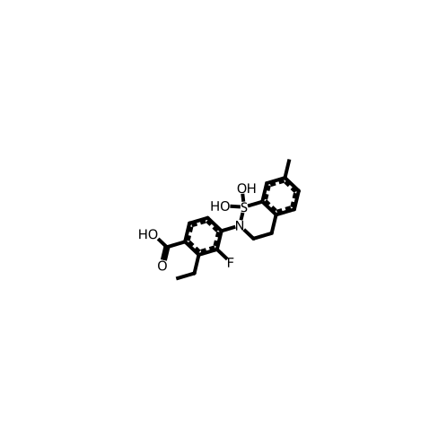 CCc1c(C(=O)O)ccc(N2CCc3ccc(C)cc3S2(O)O)c1F